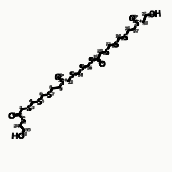 O=C(CSCSCSCC[S+]([O-])CSCSCSC(=O)CSCSCSCC[S+]([O-])CCO)SCCO